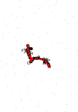 Cc1ncsc1-c1ccc([C@H](C)NC(=O)[C@@H]2CCCN2C(=O)[C@@H](NC(=O)CCCCCCCC(=O)N2CCN(CCN(C)CC3(C)CCC(c4ccc(Cl)cc4)=C(CN4CCN(c5ccc(C(=O)NS(=O)(=O)c6ccc(N[C@H](CCN7CCOCC7)CSc7ccccc7)c(S(=O)(=O)C(F)(F)F)c6)cc5)CC4)C3)CC2)C(C)(C)C)cc1